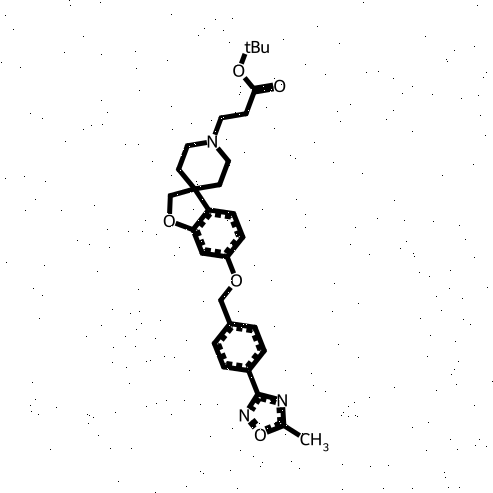 Cc1nc(-c2ccc(COc3ccc4c(c3)OCC43CCN(CCC(=O)OC(C)(C)C)CC3)cc2)no1